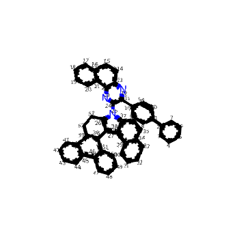 c1c(-c2ccccc2)ccc(-c2nc3ccc4ccccc4c3nc2-n2c3c(c4c5ccccc5ccc42)-c2c(c4ccccc4c4ccccc24)CC3)c#1